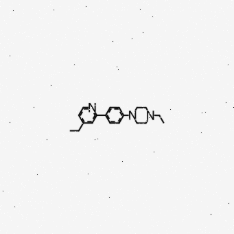 CCc1ccnc(-c2ccc(N3CCN(CC)CC3)cc2)c1